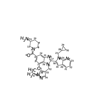 COc1cc(C(=O)N2CCCC(N)C2)cc2nc(-c3cc4cccnc4n3CC3CC3)n(Cc3cnn(C)c3)c12